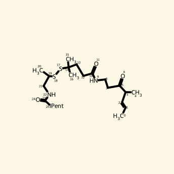 CC=CC(C)C(=O)CCNC(=O)CCC(C)(C)SSC(C)CNC(=O)C(C)CCC